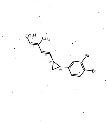 CC(/C=C/[C@@H]1C[C@H]1c1ccc(Br)c(Br)c1)=C\C(=O)O